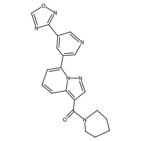 O=C(c1cnn2c(-c3cncc(-c4ncon4)c3)cccc12)N1CCCCC1